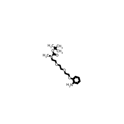 CN(CCOCCOCCOc1ccccc1N)C(=O)OC(C)(C)C